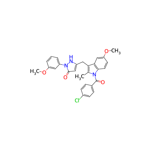 COc1cccc(-n2[nH]c(Cc3c(C)n(C(=O)c4ccc(Cl)cc4)c4ccc(OC)cc34)cc2=O)c1